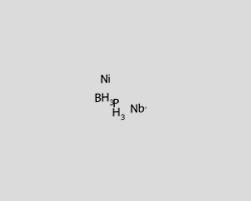 B.P.[Nb].[Ni]